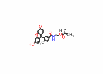 C=C(C)C(=O)OCCNC(=O)c1ccc(C(=O)O)c(-c2c3ccc(=O)cc-3oc3cc(O)ccc23)c1